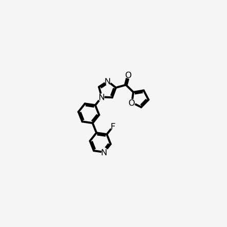 O=C(c1cn(-c2cccc(-c3ccncc3F)c2)cn1)c1ccco1